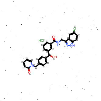 Cl.O=C(NCc1n[nH]c2ccc(Cl)cc12)c1cccc(C(O)c2ccc(Cn3ccccc3=O)cc2)c1